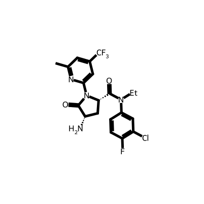 CCN(C(=O)[C@@H]1C[C@H](N)C(=O)N1c1cc(C(F)(F)F)cc(C)n1)c1ccc(F)c(Cl)c1